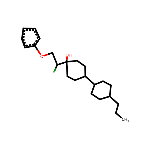 CCCC1CCC(C2CCC(O)(C(F)COc3ccccc3)CC2)CC1